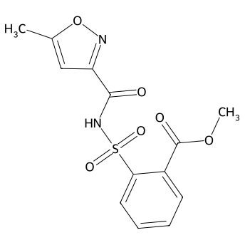 COC(=O)c1ccccc1S(=O)(=O)NC(=O)c1cc(C)on1